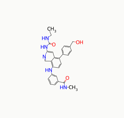 CCNC(=O)Nc1cc2c(-c3ccc(CO)cc3)ccc(Nc3cccc(C(=O)NC)c3)c2cn1